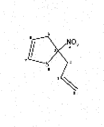 C=CCC1([N+](=O)[O-])CC=CS1